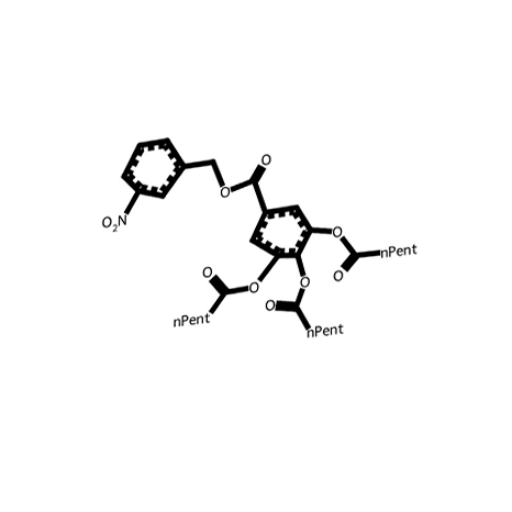 CCCCCC(=O)Oc1cc(C(=O)OCc2cccc([N+](=O)[O-])c2)cc(OC(=O)CCCCC)c1OC(=O)CCCCC